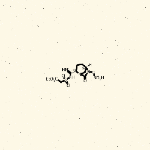 CCOC(=O)CS(=O)(=O)NC(=N)[C@@H]1CC[C@@H]2CN1C(=O)N2OS(=O)(=O)O